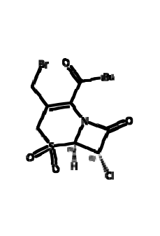 CC(C)(C)C(=O)C1=C(CBr)CS(=O)(=O)[C@@H]2[C@@H](Cl)C(=O)N12